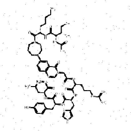 CC[C@H](C)[C@H](NC(C)=O)C(=O)N[C@@H](CCCCN)C(=O)N1CCCN(c2ccc3ncn(CC(=O)N[C@@H](CCCNC(=N)N)C(=O)N[C@@H](Cc4c[nH]cn4)C(=O)N[C@@H](Cc4ccc(O)cc4)C(=O)N[C@@H](CC(C)C)C(=O)NC)c(=O)c3c2)CC1